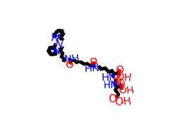 CC(CCCCN(Cc1ccccn1)Cc1ccccn1)NC(=O)CCCCCCC(=O)NCCCCCC(NC(=O)NC(CCC(=O)O)C(=O)O)C(=O)O